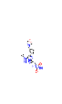 O=C1NC(=O)/C(=C/c2cnn3c(NC4CC4)cc(-c4cccc(CN5CCOCC5)c4)nc23)N1